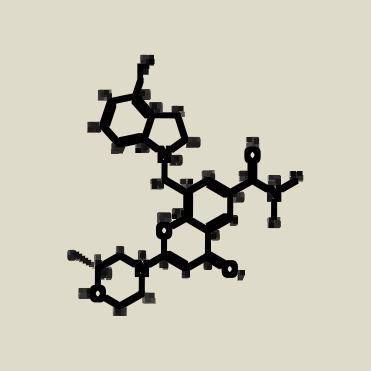 C[C@@H]1CN(c2cc(=O)c3cc(C(=O)N(C)C)cc(CN4CCc5c(F)cccc54)c3o2)CCO1